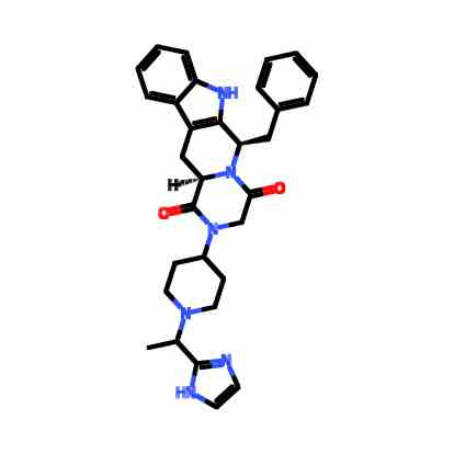 CC(c1ncc[nH]1)N1CCC(N2CC(=O)N3[C@H](Cc4c([nH]c5ccccc45)[C@H]3Cc3ccccc3)C2=O)CC1